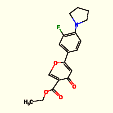 CCOC(=O)c1coc(-c2ccc(N3CCCC3)c(F)c2)cc1=O